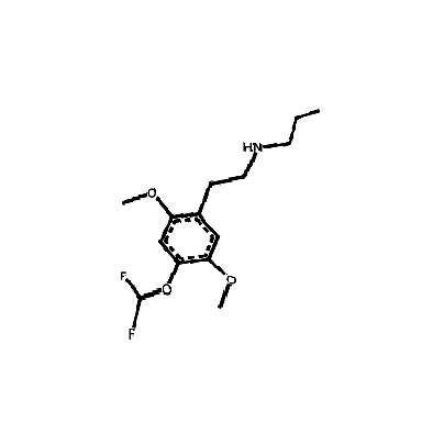 CCCNCCc1cc(OC)c(OC(F)F)cc1OC